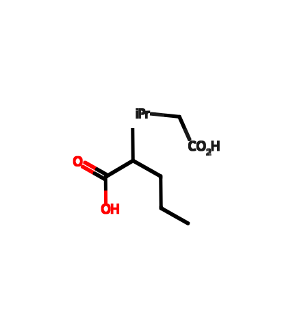 CC(C)CC(=O)O.CCCC(C)C(=O)O